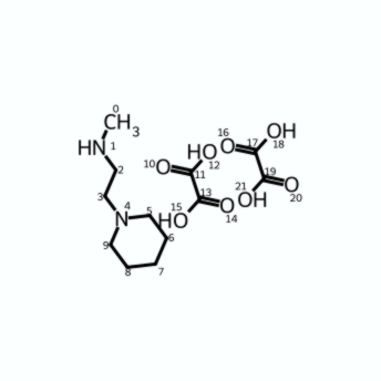 CNCCN1CCCCC1.O=C(O)C(=O)O.O=C(O)C(=O)O